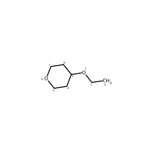 CCOC1CCOCC1